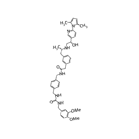 COc1ccc(CNC(=O)NCc2ccc(CNC(=O)Cc3cccc(C[C@@H](C)NC[C@H](O)c4ccc(-n5c(C)ccc5C)nc4)c3)cc2)cc1OC